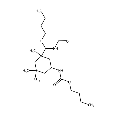 CCCCOC(=O)NC1CC(C)(C)CC(C)(C(NC=O)OCCCC)C1